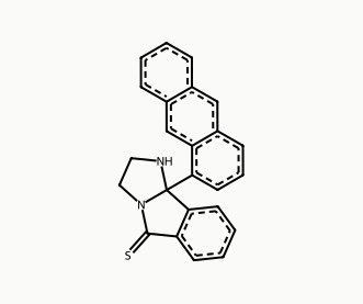 S=C1c2ccccc2C2(c3cccc4cc5ccccc5cc34)NCCN12